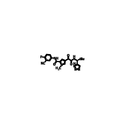 Cn1cc(C(=O)C(=O)N[C@H](c2cnn[nH]2)C(C)(C)C)cc1C(=O)Nc1ccc(F)c(C#N)c1